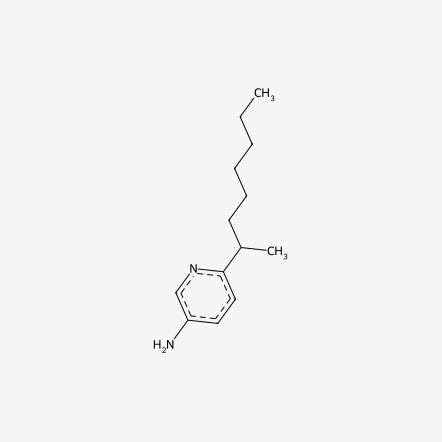 CCCCCCC(C)c1ccc(N)cn1